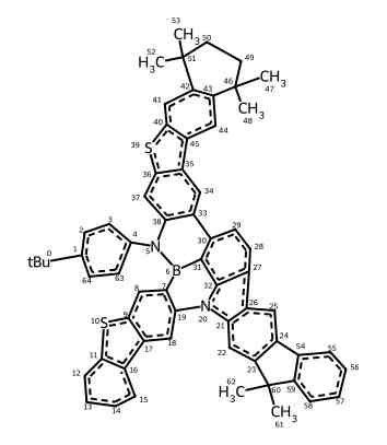 CC(C)(C)c1ccc(N2B3c4cc5sc6ccccc6c5cc4-n4c5cc6c(cc5c5ccc(c3c54)-c3cc4c(cc32)sc2cc3c(cc24)C(C)(C)CCC3(C)C)-c2ccccc2C6(C)C)cc1